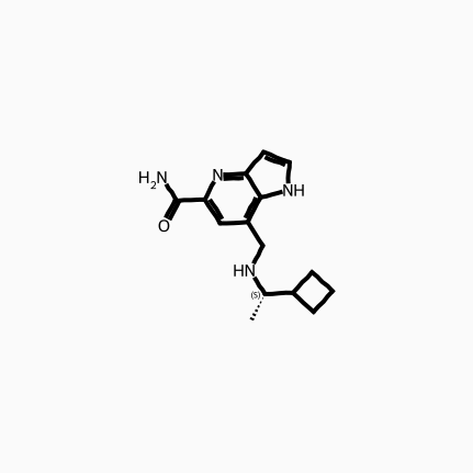 C[C@H](NCc1cc(C(N)=O)nc2cc[nH]c12)C1CCC1